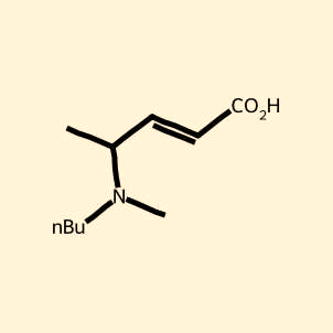 CCCCN(C)C(C)/C=C/C(=O)O